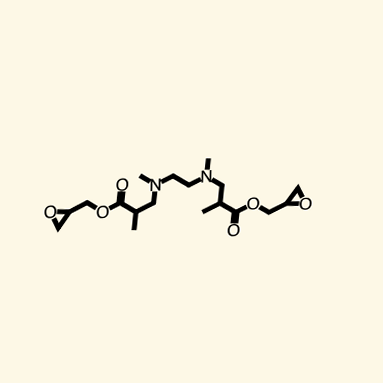 CC(CN(C)CCN(C)CC(C)C(=O)OCC1CO1)C(=O)OCC1CO1